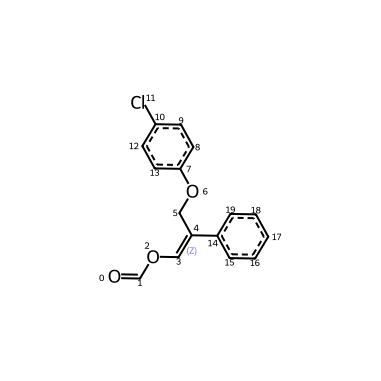 O=CO/C=C(\COc1ccc(Cl)cc1)c1ccccc1